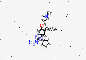 CCN1CCC(COc2cc3nc(N)n(C4CCCC4)c3cc2OC)C1